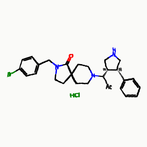 CC(=O)C([C@@H]1CNC[C@@H]1c1ccccc1)N1CCC2(CCN(Cc3ccc(Br)cc3)C2=O)CC1.Cl